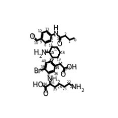 CCCC(=O)Nc1ccc(C=O)cc1.NC1CCCCC1.NCCCCC(N)C(=O)O.O=C(O)Cc1ccc(Br)cc1